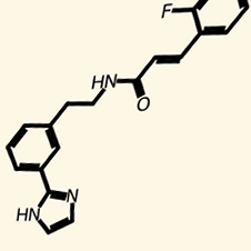 O=C(C=Cc1ccccc1F)NCCc1cccc(-c2ncc[nH]2)c1